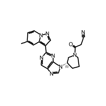 Cc1ccn2ncc(-c3ncc4ncn([C@H]5CCCN(C(=O)CC#N)C5)c4n3)c2c1